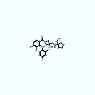 O=C(c1ccc(F)c(F)c1Nc1ccc(I)cc1F)N1CC(O)(CNC2(CO)CCCC2)C1